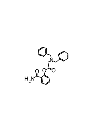 NC(=O)c1ccccc1OC(=O)CN(Cc1ccccc1)Cc1ccccc1